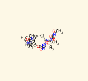 C=CC(=O)N1CC[C@]2(C1)OCN([C@H](C(=O)N[C@H]1Cc3cccc(c3)-c3ccc4c(c3)c(c(/C(C=C)=C(/N=C\C)[C@H](C)OC)n4CC)CC(C)(C)COC[C@@]3(C=O)CCCN(N3)C1=O)C(C)C)C2=O